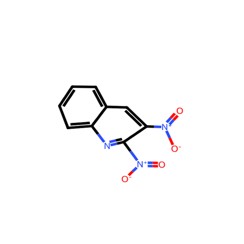 O=[N+]([O-])c1cc2ccccc2nc1[N+](=O)[O-]